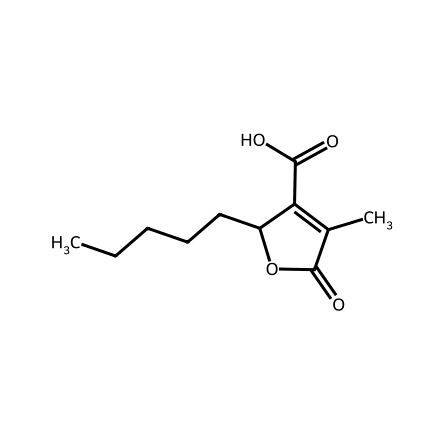 CCCCCC1OC(=O)C(C)=C1C(=O)O